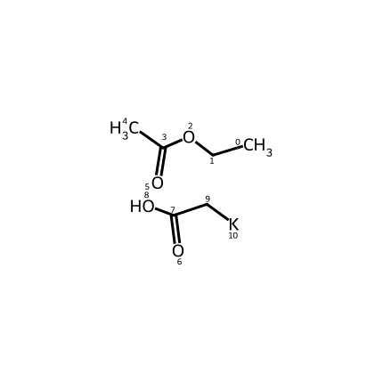 CCOC(C)=O.O=C(O)[CH2][K]